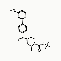 C[C@H]1CN(C(=O)c2ccc(-c3cccc(O)c3)cc2)CCN1C(=O)OC(C)(C)C